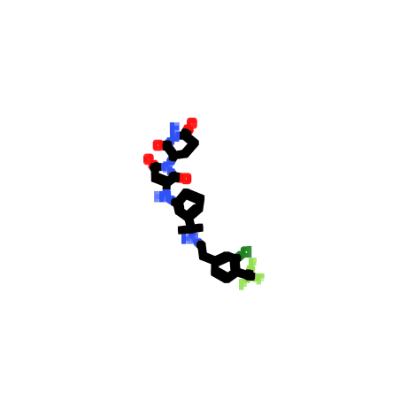 CC(C)(NCCc1ccc(C(F)(F)F)c(Cl)c1)c1cccc(NC2=CC(=O)N(C3CCC(=O)NC3=O)C2=O)c1